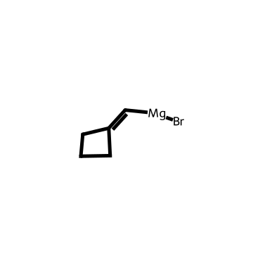 [Br][Mg][CH]=C1CCC1